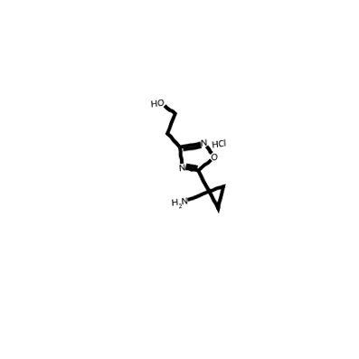 Cl.NC1(c2nc(CCO)no2)CC1